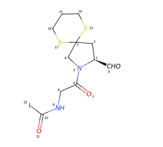 O=C[C@@H]1CC2(CN1C(=O)CNC(=O)I)SCCCS2